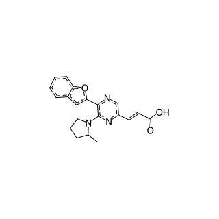 CC1CCCN1c1nc(/C=C/C(=O)O)cnc1-c1cc2ccccc2o1